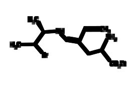 C=C/C(=C\N[C@H](C)C(C)Br)CC(N)C(=O)OCC